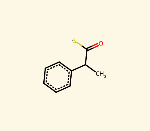 CC(C(=O)[S])c1ccccc1